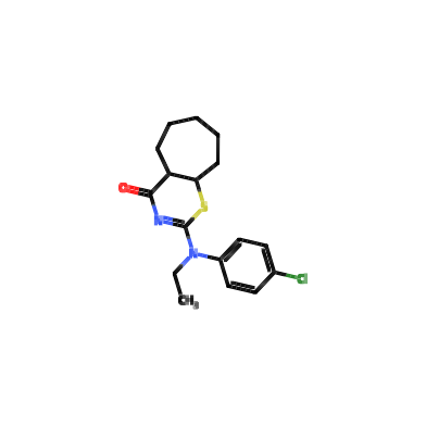 CCN(C1=NC(=O)C2CCCCCC2S1)c1ccc(Cl)cc1